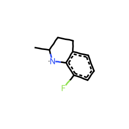 CC1CCc2cccc(F)c2[N]1